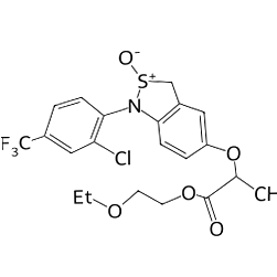 CCOCCOC(=O)C(C)Oc1ccc2c(c1)C[S+]([O-])N2c1ccc(C(F)(F)F)cc1Cl